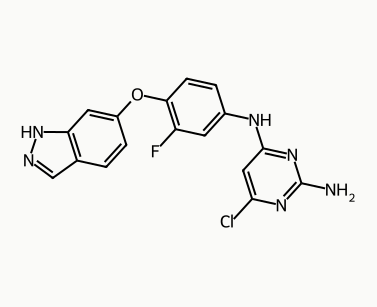 Nc1nc(Cl)cc(Nc2ccc(Oc3ccc4cn[nH]c4c3)c(F)c2)n1